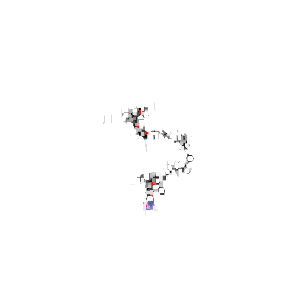 CC/N=c1/cc2oc3cc(NCC)c(C)cc3c(-c3ccccc3C(=O)N(C)CCCC(=O)NCCNC(=O)c3cccc(OCC(N=[N+]=[N-])OCCOCC(=O)NCC#Cc4cn([C@H]5CC(O[C@@H](C)SSC)[C@@H](COP(=O)(O)O)O5)c(=O)[nH]c4=O)c3)c-2cc1C